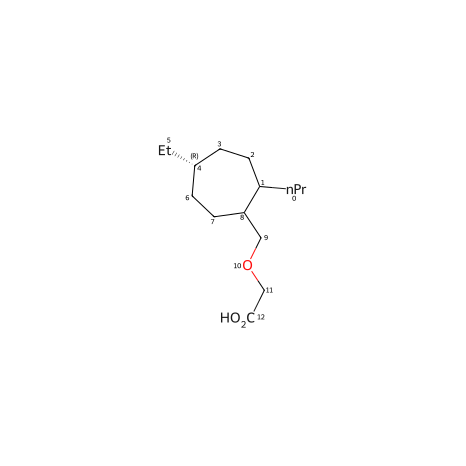 CCCC1CC[C@@H](CC)CCC1COCC(=O)O